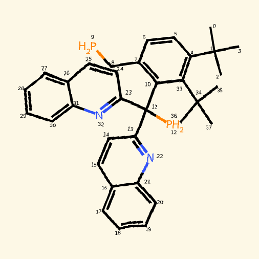 CC(C)(C)c1ccc(CP)c(C(P)(c2ccc3ccccc3n2)c2ccc3ccccc3n2)c1C(C)(C)C